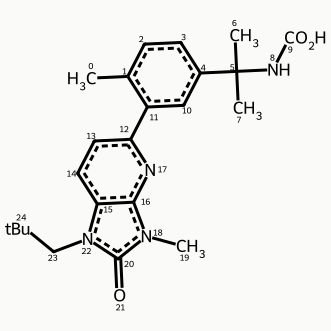 Cc1ccc(C(C)(C)NC(=O)O)cc1-c1ccc2c(n1)n(C)c(=O)n2CC(C)(C)C